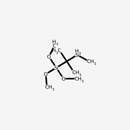 CO[Si](OC)(OC)C(C)(C)[SiH2]C